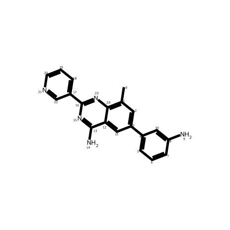 Cc1cc(-c2cccc(N)c2)cc2c(N)nc(-c3cccnc3)nc12